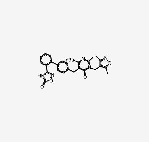 CCCCc1nc(C)n(Cc2c(C)noc2C)c(=O)c1Cc1ccc(-c2ccccc2-c2noc(=O)[nH]2)cc1